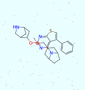 COCC1CC2CCC(C1)N2c1nc(OC2CC3CC2CN3)nc2scc(-c3ccccc3)c12